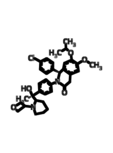 COc1cc2c(cc1OC(C)C)[C@H](c1ccc(Cl)cc1)N(c1ccc([C@](C)(O)C3CCCCN3C3COC3)cc1)C(=O)C2